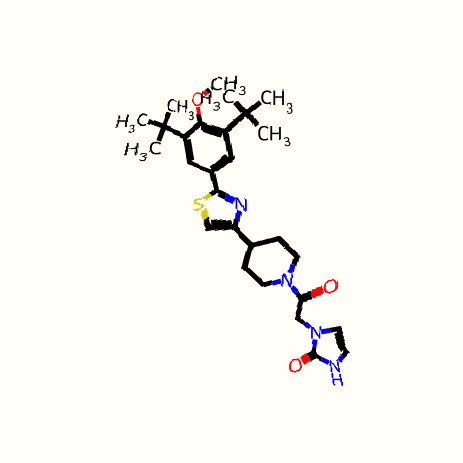 COc1c(C(C)(C)C)cc(-c2nc(C3CCN(C(=O)Cn4cc[nH]c4=O)CC3)cs2)cc1C(C)(C)C